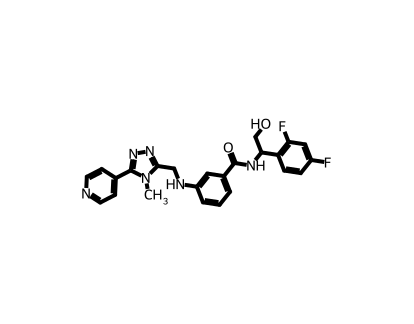 Cn1c(CNc2cccc(C(=O)NC(CO)c3ccc(F)cc3F)c2)nnc1-c1ccncc1